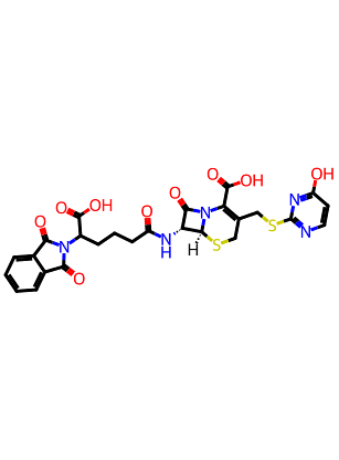 O=C(CCCC(C(=O)O)N1C(=O)c2ccccc2C1=O)N[C@@H]1C(=O)N2C(C(=O)O)=C(CSc3nccc(O)n3)CS[C@@H]12